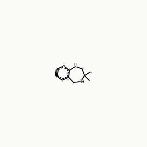 CC1(C)CNc2nc#ccc2CN1